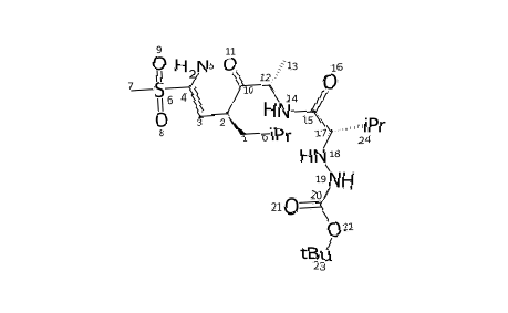 CC(C)C[C@@H](/C=C(\N)S(C)(=O)=O)C(=O)[C@H](C)NC(=O)[C@@H](NNC(=O)OC(C)(C)C)C(C)C